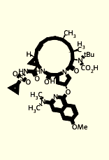 COc1ccc2c(O[C@@H]3C[C@H]4C(=O)N[C@]5(C(=O)NS(=O)(=O)C6CC6)C[C@H]5/C=C\CC[C@H](C)C[C@@H](C)[C@H](N(C(=O)O)C(C)(C)C)C(=O)N4C3)nc(N(C)C)cc2c1